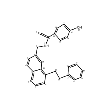 O=C(NCc1ccc2nccc(CCc3ccccc3)c2c1)c1ccc(O)cc1